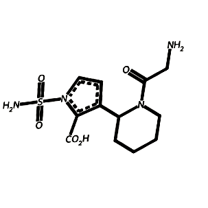 NCC(=O)N1CCCCC1c1ccn(S(N)(=O)=O)c1C(=O)O